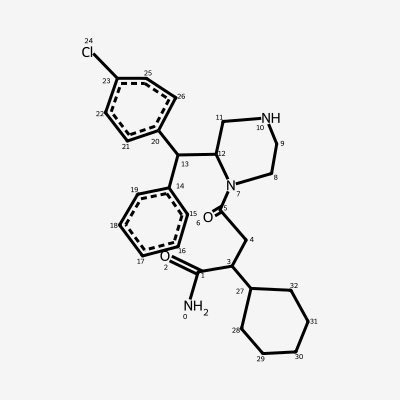 NC(=O)C(CC(=O)N1CCNCC1C(c1ccccc1)c1ccc(Cl)cc1)C1CCCCC1